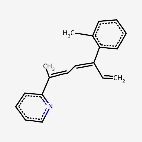 C=C/C(=C\C=C(/C)c1ccccn1)c1ccccc1C